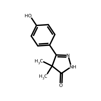 CC1(C)C(=O)NN=C1c1ccc(O)cc1